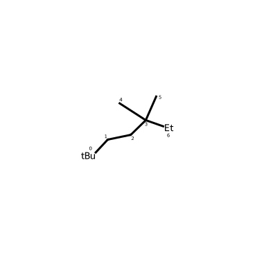 [CH2]C(C)(C)CCC(C)(C)CC